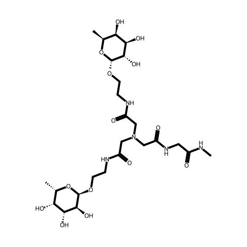 CNC(=O)CNC(=O)CN(CC(=O)NCCO[C@@H]1O[C@@H](C)[C@@H](O)[C@@H](O)[C@@H]1O)CC(=O)NCCO[C@@H]1O[C@@H](C)[C@@H](O)[C@@H](O)[C@@H]1O